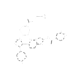 O=C(Nc1cn2nc(-c3c(-c4ccc(F)cc4)ncn3C3CCN(C(=O)OCC4CC4)CC3)ccc2n1)c1ccnc(F)c1